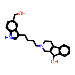 OCc1ccc2[nH]cc(CCCCN3CCC4=C(C3)C(O)c3ccccc34)c2c1